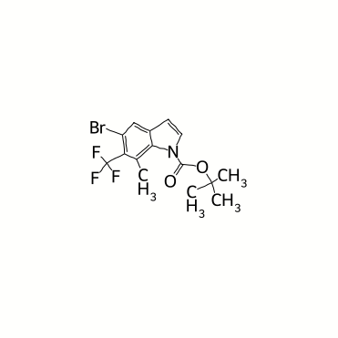 Cc1c(C(F)(F)F)c(Br)cc2ccn(C(=O)OC(C)(C)C)c12